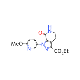 CCOC(=O)c1nn(-c2ccc(OC)nc2)c2c1CCNC2=O